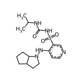 CC(C)NC(=O)NS(=O)(=O)c1cnccc1NN1CCC2CCCC21